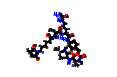 CC[C@H](C)[C@@H](C)N(C)C(=O)[C@@H](NC(=O)[C@H](C(C)C)N(C)C(=O)OCc1ccc(NC(=O)[C@H](CCCNC(N)=O)NC(=O)[C@@H](NC(=O)CCCCCN2C(=O)CC(C)C2=O)C(C)C)cc1)C(C)C